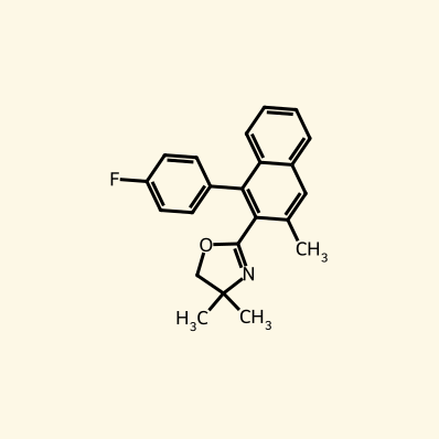 Cc1cc2ccccc2c(-c2ccc(F)cc2)c1C1=NC(C)(C)CO1